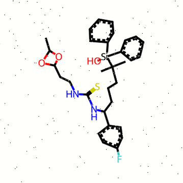 CC1OC(CCNC(=S)NC(CCCC(C)(C)[Si](O)(c2ccccc2)c2ccccc2)c2ccc(F)cc2)O1